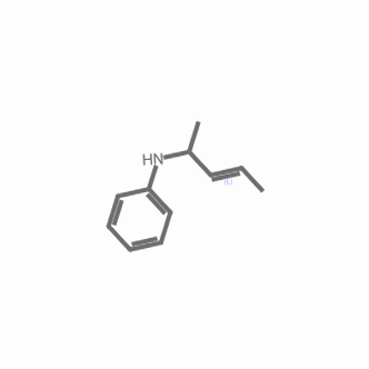 C/C=C/C(C)Nc1ccccc1